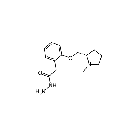 CN1CCC[C@H]1COc1ccccc1CC(=O)NN